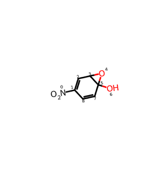 O=[N+]([O-])C1=CC2OC2(O)C=C1